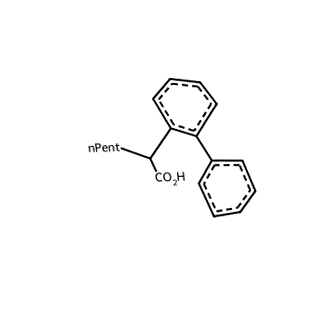 CCCCCC(C(=O)O)c1ccccc1-c1ccccc1